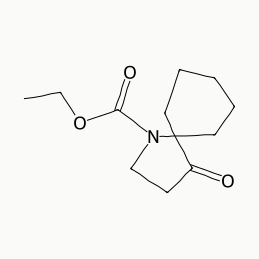 CCOC(=O)N1CCC(=O)C12CCCCC2